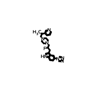 C[C@@H](CN1CCN(C[C@H](F)Cc2c[nH]c3ccc(-n4cnnc4)cc23)CC1)c1cccnc1